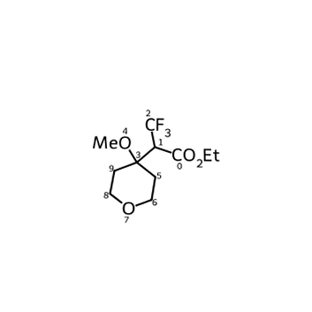 CCOC(=O)C(C(F)(F)F)C1(OC)CCOCC1